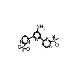 CS(=O)(=O)c1nccc(-c2cc(N)cc(-c3ccnc(S(C)(=O)=O)n3)n2)n1